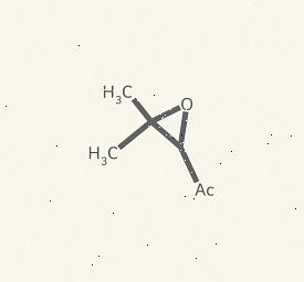 CC(=O)C1OC1(C)C